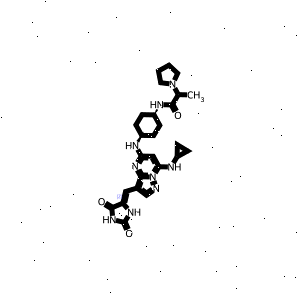 CC(C(=O)N[C@H]1CC[C@H](Nc2cc(NC3CC3)n3ncc(/C=C4\NC(=O)NC4=O)c3n2)CC1)N1CCCC1